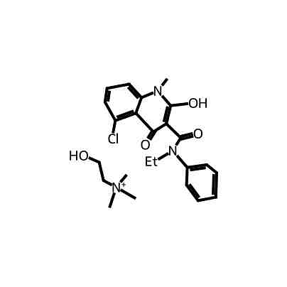 CCN(C(=O)c1c(O)n(C)c2cccc(Cl)c2c1=O)c1ccccc1.C[N+](C)(C)CCO